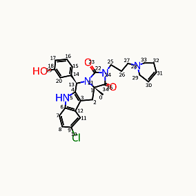 C[C@@]12Cc3c([nH]c4ccc(Cl)cc34)[C@@H](c3cccc(O)c3)N1C(=O)N(CCCN1CC=CCC1)C2=O